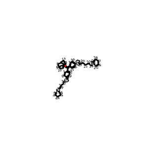 c1cc(C(=C2C3CC4CC(C3)CC2C4)c2ccc(OCCCCCN3CCCCC3)cc2)ccc1OCCCCCN1CCCCC1